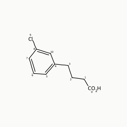 O=C(O)CCCc1c[c]cc(Cl)c1